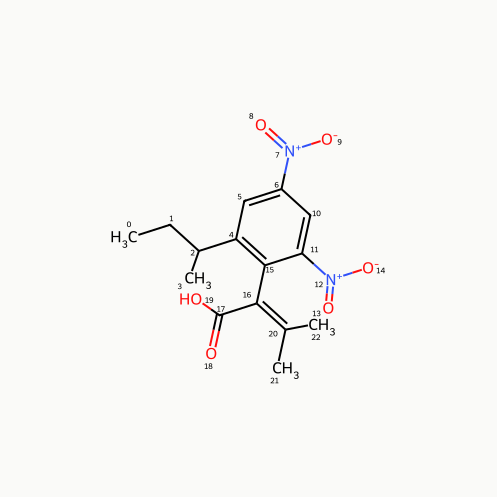 CCC(C)c1cc([N+](=O)[O-])cc([N+](=O)[O-])c1C(C(=O)O)=C(C)C